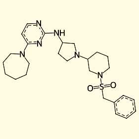 O=S(=O)(Cc1ccccc1)N1CCCC(N2CCC(Nc3nccc(N4CCCCCC4)n3)C2)C1